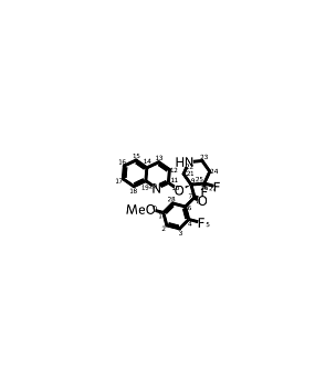 COc1ccc(F)c(C(=O)[C@@]2(Oc3ccc4ccccc4n3)CNCCC2(F)F)c1